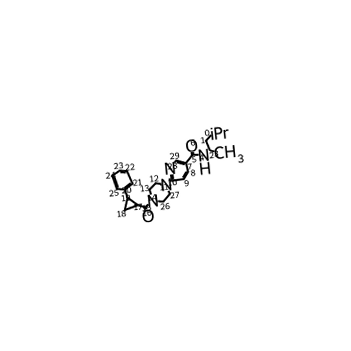 CC(C)CC(C)NC(=O)c1ccc(N2CCN(C(=O)C3CC3c3ccccc3)CC2)nc1